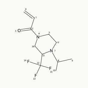 C=CC(=O)N1CCN(C(C)C)C(C(F)(F)F)C1